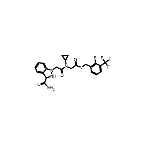 NC(=O)C1NN(CC(=O)N(CC(=O)NCc2cccc(C(F)(F)F)c2F)C2CC2)c2ccccc21